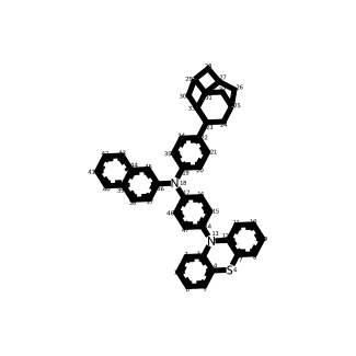 c1ccc2c(c1)Sc1ccccc1N2c1ccc(N(c2ccc(C34CC5CC6CC(C3)C6(C5)C4)cc2)c2ccc3ccccc3c2)cc1